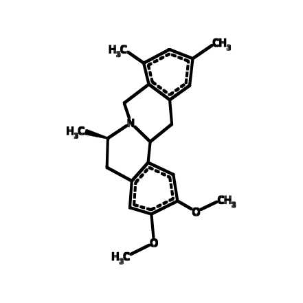 COc1cc2c(cc1OC)C1Cc3cc(C)cc(C)c3CN1[C@H](C)C2